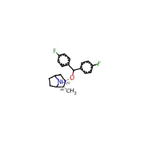 C[C@@H]1C2CCC(C[C@@H]1OC(c1ccc(F)cc1)c1ccc(F)cc1)N2